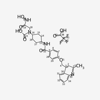 Cc1cc(COc2ccc(C(=O)NC3CCC(N(CC(=O)NO)C(=O)O)CC3)cc2)c2ccccc2n1.O=C(O)C(F)(F)F